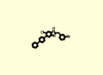 Clc1cc2[nH]c(Cc3cccc(Br)c3)nc2cc1-c1ccc(-c2ccccc2)cc1